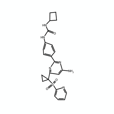 Nc1cc(C2(S(=O)(=O)c3ccccn3)CC2)nc(-c2ccc(NC(=O)NC3CCC3)cc2)n1